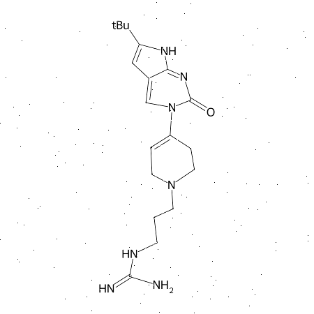 CC(C)(C)c1cc2cn(C3=CCN(CCCNC(=N)N)CC3)c(=O)nc2[nH]1